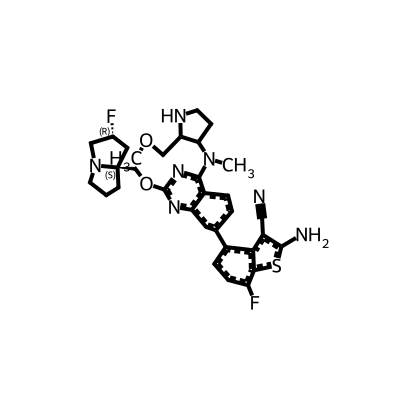 COCC1NCCC1N(C)c1nc(OC[C@@]23CCCN2C[C@H](F)C3)nc2cc(-c3ccc(F)c4sc(N)c(C#N)c34)ccc12